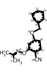 CC(C)=NOc1cc(OCc2ccccc2)ccc1C#N